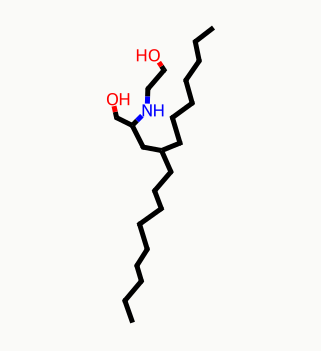 CCCCCCCCCC(CCCCCCC)CC(CO)NCCO